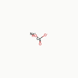 [Na+].[O]=[Ge]([O-])[OH]